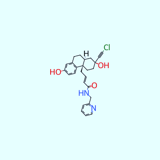 O=C(/C=C/C[C@]12CC[C@@](O)(C#CCl)C[C@@H]1CCc1cc(O)ccc12)NCc1ccccn1